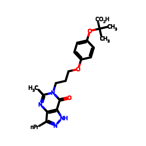 CCCc1n[nH]c2c(=O)n(CCCOc3ccc(OC(C)(C)C(=O)O)cc3)c(C)nc12